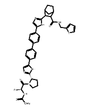 COC(=O)N[C@H](C(=O)N1CCC[C@H]1c1ncc(-c2ccc(-c3ccc(-c4cnc(C5C6CCC(C6)C5C(=O)NCc5cccs5)[nH]4)cc3)cc2)[nH]1)C(C)C